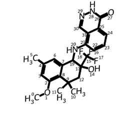 COc1cc(C)cc2c1C(C)(C)CC(O)(C(F)(F)F)C2Nc1cccc2c(=O)[nH]ncc12